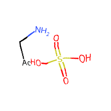 CC(=O)CN.O=S(=O)(O)O